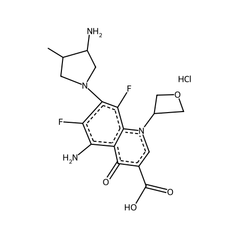 CC1CN(c2c(F)c(N)c3c(=O)c(C(=O)O)cn(C4COC4)c3c2F)CC1N.Cl